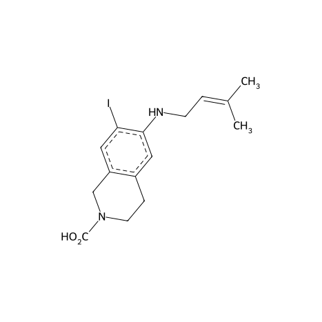 CC(C)=CCNc1cc2c(cc1I)CN(C(=O)O)CC2